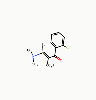 CCC(=C(C(=O)O)C(=O)c1ccccc1F)N(C)C